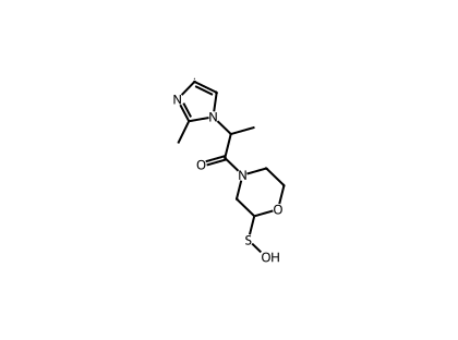 Cc1n[c]cn1C(C)C(=O)N1CCOC(SO)C1